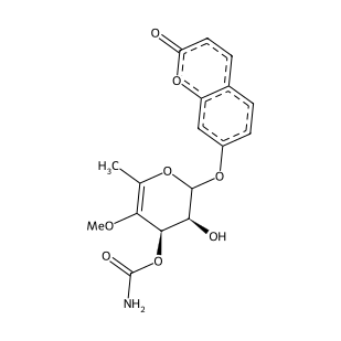 COC1=C(C)OC(Oc2ccc3ccc(=O)oc3c2)[C@@H](O)[C@H]1OC(N)=O